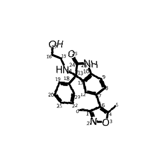 Cc1noc(C)c1-c1ccc2c(c1)C(NCCO)(c1ccccc1)C(=O)N2